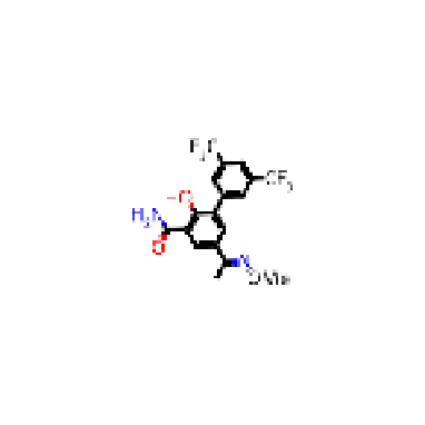 CON=C(C)c1cc(C(N)=O)c(O)c(-c2cc(C(F)(F)F)cc(C(F)(F)F)c2)c1